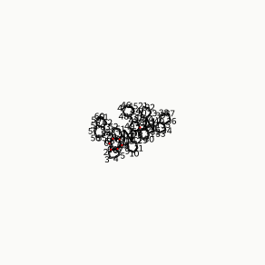 C1=c2ccccc2=C(c2ccccc2N(c2ccc(-c3ccccc3-n3c4ccccc4c4ccc5ccccc5c43)c(-c3ccccc3)c2)c2ccc(-c3cccc4ccccc34)c3ccccc23)CC1